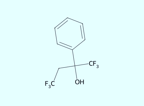 OC(CC(F)(F)F)(c1ccccc1)C(F)(F)F